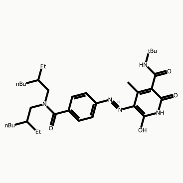 CCCCC(CC)CN(CC(CC)CCCC)C(=O)c1ccc(/N=N/c2c(O)[nH]c(=O)c(C(=O)NC(C)(C)C)c2C)cc1